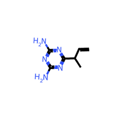 C=CC(C)c1nc(N)nc(N)n1